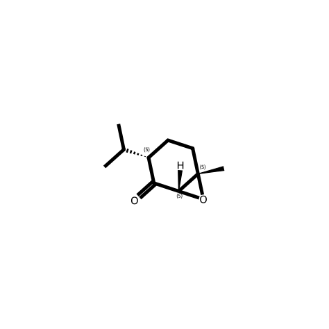 CC(C)[C@@H]1CC[C@]2(C)O[C@@H]2C1=O